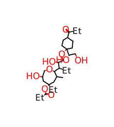 CCC(=O)OC1(CC)CC(O)COC(C(CC)C(O)COC2(C(O)CO)CCC(C(=O)CC)CC2)C(C)C1